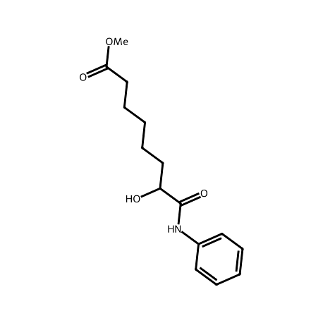 COC(=O)CCCCCC(O)C(=O)Nc1ccccc1